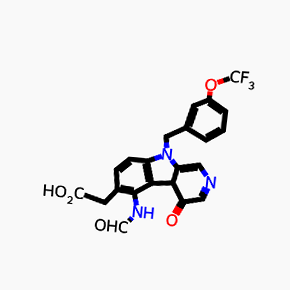 O=CNc1c(CC(=O)O)ccc2c1C1C(=O)C=NC=C1N2Cc1cccc(OC(F)(F)F)c1